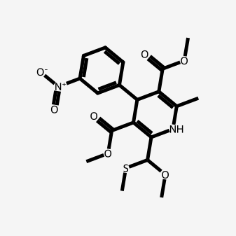 COC(=O)C1=C(C)NC(C(OC)SC)=C(C(=O)OC)C1c1cccc([N+](=O)[O-])c1